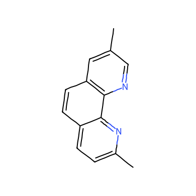 Cc1cnc2c(ccc3ccc(C)nc32)c1